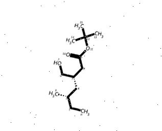 CC[C@H](C)C[C@H](CO)CC(=O)OC(C)(C)C